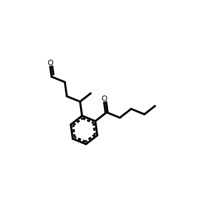 CCCCC(=O)c1ccccc1C(C)CCC=O